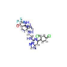 C=C(/C=C\C(C(=O)C(F)(F)F)=C(N)N)NCCNc1nc(-c2ccc(Cl)cc2Cl)cc2ncnn12